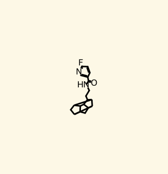 O=C(NCCC1C2C3CC4C5CC(C42)C1C53)c1ccc(F)nc1